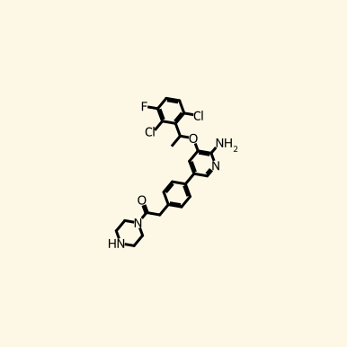 CC(Oc1cc(-c2ccc(CC(=O)N3CCNCC3)cc2)cnc1N)c1c(Cl)ccc(F)c1Cl